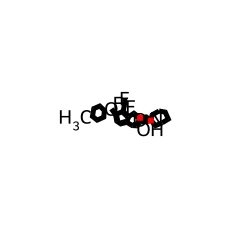 C[C@H]1CC[C@@H](Oc2ccc3ccc(CCN4C5CCC4CC(C(=O)O)C5)cc3c2C(F)(F)F)CC1